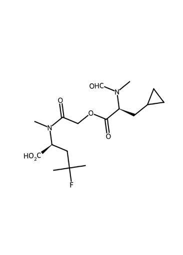 CN(C=O)[C@@H](CC1CC1)C(=O)OCC(=O)N(C)[C@@H](CC(C)(C)F)C(=O)O